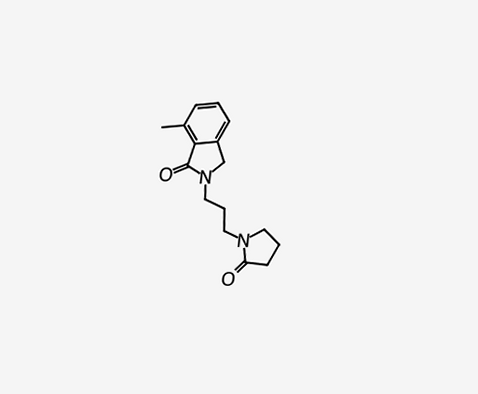 Cc1cccc2c1C(=O)N(CCCN1CCCC1=O)C2